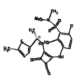 CON(C)S(=O)(=O)c1c(Cl)ccc(Nc2c(N[C@@H](C)c3ccc(C)s3)c(=O)c2=O)c1O